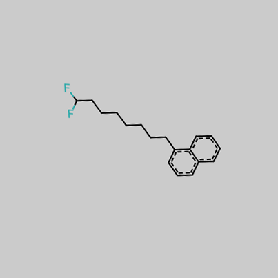 FC(F)CCCCCCCc1cccc2ccccc12